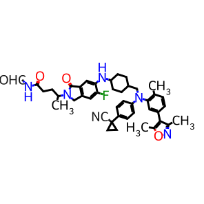 Cc1ccc(-c2c(C)noc2C)cc1N(CC1CCC(Nc2cc3c(cc2F)CN(C(C)CCC(=O)NC=O)C3=O)CC1)c1ccc(C2(C#N)CC2)cc1